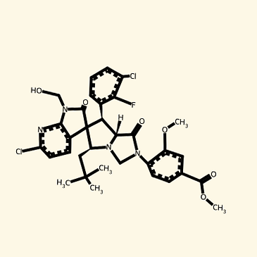 COC(=O)c1ccc(N2CN3[C@@H](CC(C)(C)C)C4(C(=O)N(CO)c5nc(Cl)ccc54)[C@@H](c4cccc(Cl)c4F)[C@@H]3C2=O)c(OC)c1